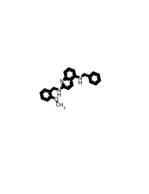 COc1ccccc1CNc1ccc2c(NCc3ccccc3)cccc2n1